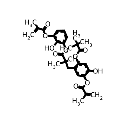 C=C(C)C(=O)Oc1cc(CC(C)(C)C(=O)Oc2cccc(OC(=O)C(=C)C)c2O)c(OC(=O)C(C)(C)C)cc1O